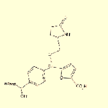 CCCCCC(O)c1ccc([C@H](OCC2CCC(=O)N2)c2ccc(C(=O)O)o2)cc1